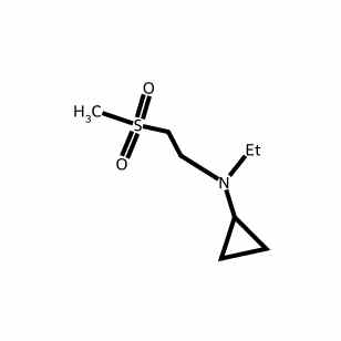 CCN(CCS(C)(=O)=O)C1CC1